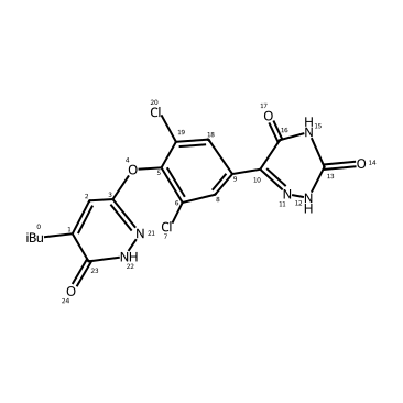 CCC(C)c1cc(Oc2c(Cl)cc(-c3n[nH]c(=O)[nH]c3=O)cc2Cl)n[nH]c1=O